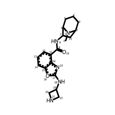 CN1C2CCCC1C(NC(=O)c1cccc3oc(NC4CNC4)nc13)C2